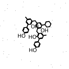 Cc1cc(Cc2cc(Cc3cc(C)cc(-c4ccc(O)cc4)c3O)c(O)c(C3CCCCC3)c2)c(O)c(-c2ccc(O)cc2)c1